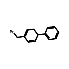 BrCC1=CCC(c2ccccc2)C=C1